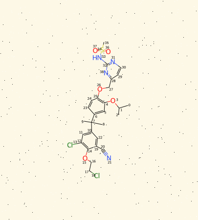 CC(C)Oc1cc(C(C)(C)c2cc(Cl)c(OCCCl)c(C#N)c2)ccc1OCc1ccnc(NS(C)(=O)=O)n1